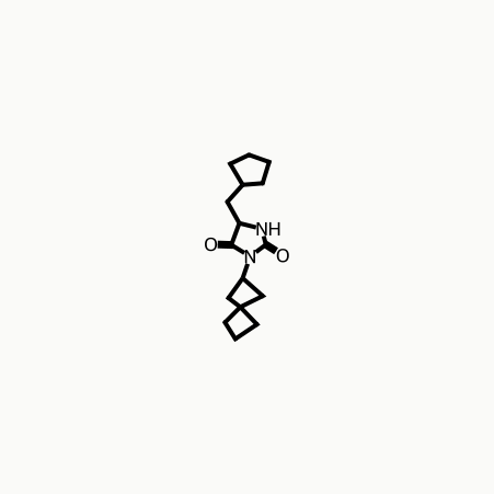 O=C1NC(CC2CCCC2)C(=O)N1C1CC2(CCC2)C1